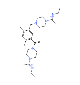 C=C(c1cc(CN2CCN(/C(C)=N/CC)CC2)c(C)cc1C)N1CCN(/C(C)=N/CC)CC1